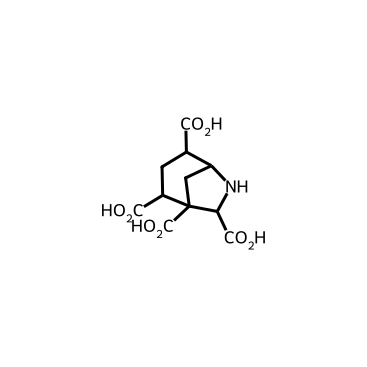 O=C(O)C1CC(C(=O)O)C2(C(=O)O)CC1NC2C(=O)O